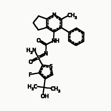 Cc1nc2c(c(NC(=O)N=S(N)(=O)c3scc(C(C)(C)O)c3F)c1-c1ccccc1)CCC2